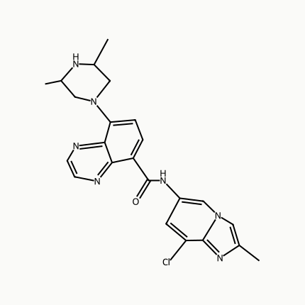 Cc1cn2cc(NC(=O)c3ccc(N4CC(C)NC(C)C4)c4nccnc34)cc(Cl)c2n1